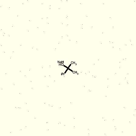 CC(C)C(C)(C)O.[NaH]